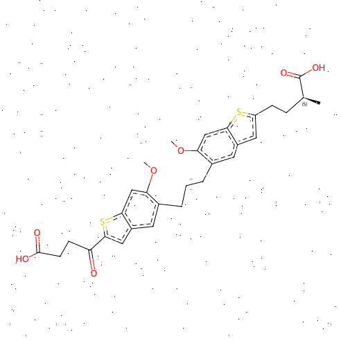 COc1cc2sc(CC[C@H](C)C(=O)O)cc2cc1CCCc1cc2cc(C(=O)CCC(=O)O)sc2cc1OC